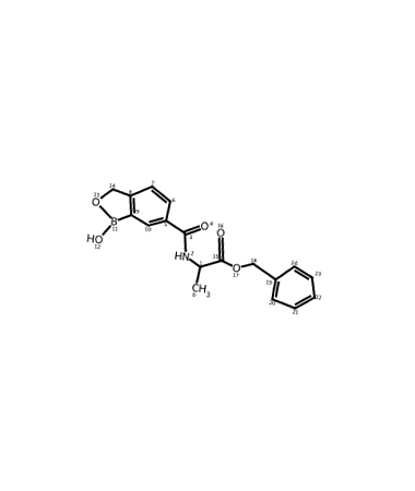 CC(NC(=O)c1ccc2c(c1)B(O)OC2)C(=O)OCc1ccccc1